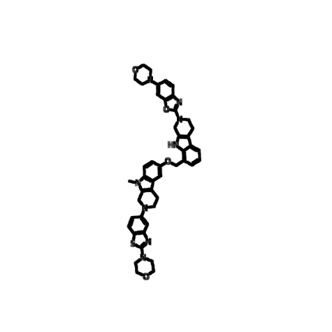 Cn1c2c(c3cc(OCc4cccc5c6c([nH]c45)CN(c4nc5ccc(N7CCOCC7)cc5o4)CC6)ccc31)CCN(c1ccc3sc(N4CCOCC4)nc3c1)C2